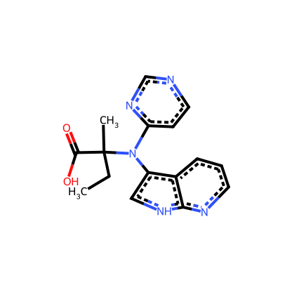 CCC(C)(C(=O)O)N(c1ccncn1)c1c[nH]c2ncccc12